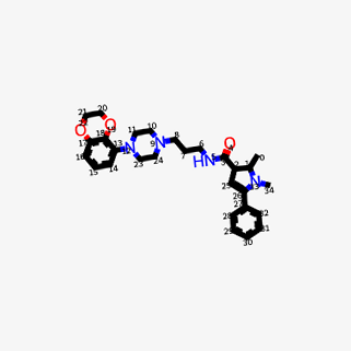 CC1C(C(=O)NCCCN2CCN(c3cccc4c3OCCO4)CC2)C=C(c2ccccc2)N1C